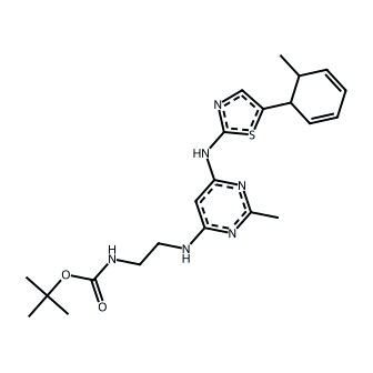 Cc1nc(NCCNC(=O)OC(C)(C)C)cc(Nc2ncc(C3C=CC=CC3C)s2)n1